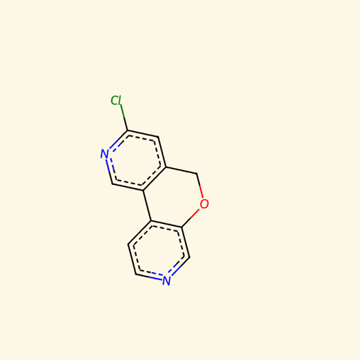 Clc1cc2c(cn1)-c1ccncc1OC2